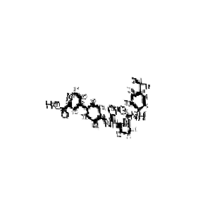 CC(C)c1ccc(NC(=O)N2CCC[C@@H]2C(=O)Nc2ccc(-c3ccnc(C(=O)O)c3)cc2)cc1